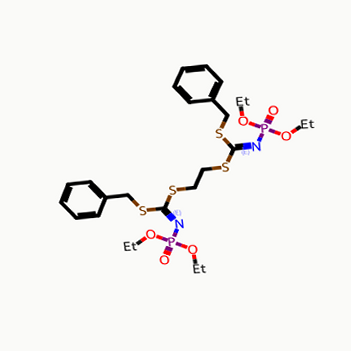 CCOP(=O)(/N=C(/SCCS/C(=N/P(=O)(OCC)OCC)SCc1ccccc1)SCc1ccccc1)OCC